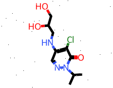 CC(C)n1ncc(NCC(O)CO)c(Cl)c1=O